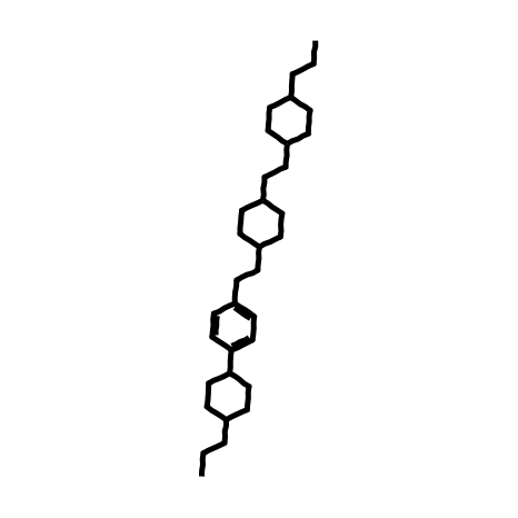 CCCC1CCC(CCC2CCC(CCc3ccc(C4CCC(CCC)CC4)cc3)CC2)CC1